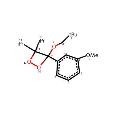 COc1cccc(C2(OCC(C)(C)C)OOC2(C(C)C)C(C)C)c1